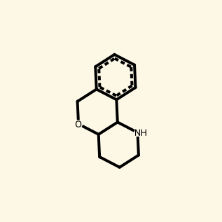 c1ccc2c(c1)COC1CCCNC21